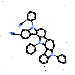 N#Cc1ccc2c3c(ccc4c5ccc6c(c7ccccc7n6-c6ccccc6)c5n(-c5ccccc5)c43)n(-c3ccccc3C#N)c2c1